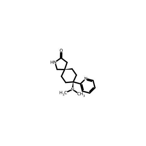 CN(C)[C@]1(c2ccccn2)CC[C@@]2(CC1)CNC(=O)C2